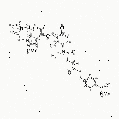 CNC(=O)c1ccc(CCC(=O)NCC(=O)N(C)c2ccc(Cl)c(COc3cccc4c3nc(OC)n4Cc3nccn3C)c2Cl)cc1